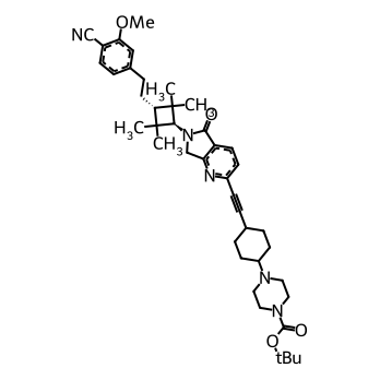 COc1cc(CC[C@H]2C(C)(C)[C@H](N3Cc4nc(C#CC5CCC(N6CCN(C(=O)OC(C)(C)C)CC6)CC5)ccc4C3=O)C2(C)C)ccc1C#N